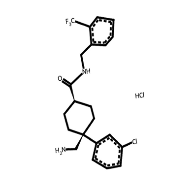 Cl.NC[C@]1(c2cccc(Cl)c2)CC[C@H](C(=O)NCc2ccccc2C(F)(F)F)CC1